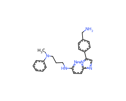 CN(CCCNc1ccc2ncc(-c3ccc(CN)cc3)n2n1)c1ccccc1